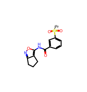 CC(C)S(=O)(=O)c1cccc(C(=O)Nc2onc3c2CCC3)c1